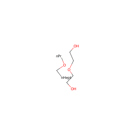 CCCCCCCCOCCC.OCCOCCO